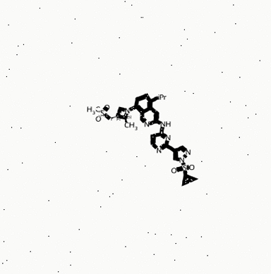 CC(C)c1ccc(N2C[C@@H](CS(C)(=O)=O)[C@@H]2C)c2cnc(Nc3ccnc(-c4cnn(S(=O)(=O)C5CC5)c4)n3)cc12